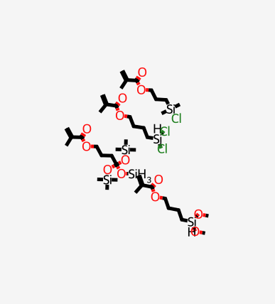 C=C(C)C(=O)OCCCC(O[SiH3])(O[Si](C)(C)C)O[Si](C)(C)C.C=C(C)C(=O)OCCCC[SiH](Cl)Cl.C=C(C)C(=O)OCCCC[SiH](OC)OC.C=C(C)C(=O)OCCC[Si](C)(C)Cl